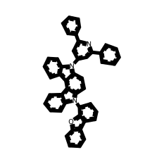 c1ccc(-c2cc(-n3c4ccccc4c4c5c6ccccc6n(-c6cccc7c6oc6ccccc67)c5ccc43)cc(-c3ccccc3)n2)cc1